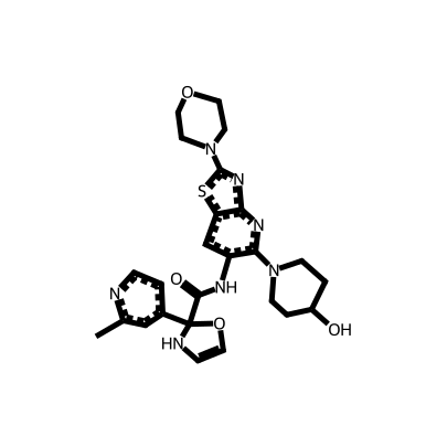 Cc1cc(C2(C(=O)Nc3cc4sc(N5CCOCC5)nc4nc3N3CCC(O)CC3)NC=CO2)ccn1